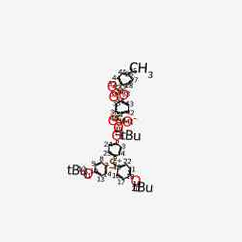 CC(C)(C)Oc1ccc([S+](c2ccc(OC(C)(C)C)cc2)c2ccc(OC(C)(C)C)cc2)cc1.Cc1ccc(S(=O)(=O)Oc2ccc(S(=O)(=O)[O-])cc2)cc1